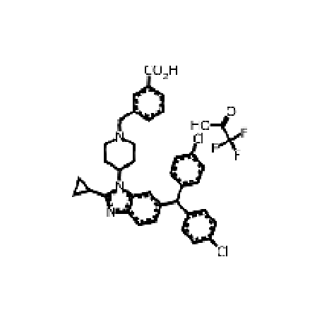 O=C(O)C(F)(F)F.O=C(O)c1cccc(CN2CCC(n3c(C4CC4)nc4ccc(C(c5ccc(Cl)cc5)c5ccc(Cl)cc5)cc43)CC2)c1